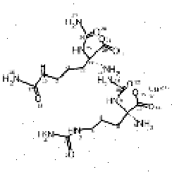 NC(=O)NCCC[C@@](N)(NC(N)=O)C(=O)[O-].NC(=O)NCCC[C@@](N)(NC(N)=O)C(=O)[O-].[Cu+2]